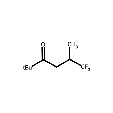 CC(CC(=O)C(C)(C)C)C(F)(F)F